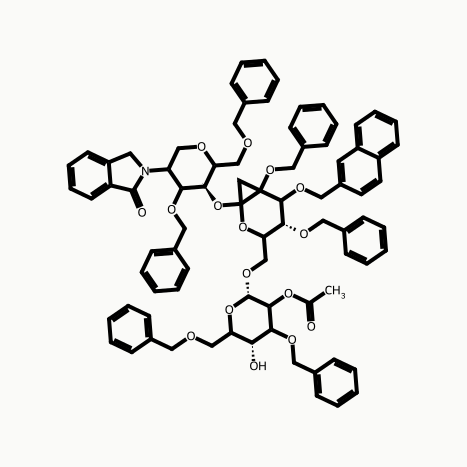 CC(=O)OC1C(OCc2ccccc2)[C@H](O)C(COCc2ccccc2)O[C@@H]1OCC1OC2(O[C@@H]3C(COCc4ccccc4)OCC(N4Cc5ccccc5C4=O)C3OCc3ccccc3)CC2(OCc2ccccc2)C(OCc2ccc3ccccc3c2)[C@@H]1OCc1ccccc1